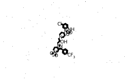 CS(=O)(=O)N1CCc2c(c(-c3ccc(C(F)(F)F)cc3)nn2CC(O)CN2CCC(N3c4cc(Cl)ccc4NS3(=O)=O)CC2)C1